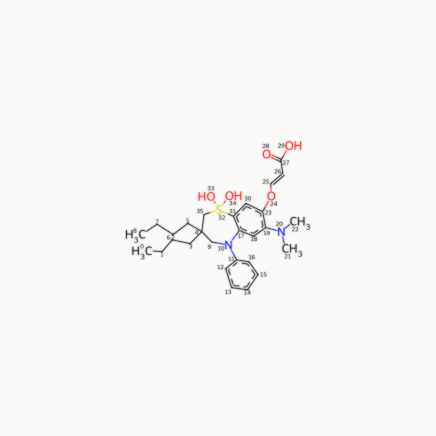 CCCCC1(CCCC)CN(c2ccccc2)c2cc(N(C)C)c(O/C=C/C(=O)O)cc2S(O)(O)C1